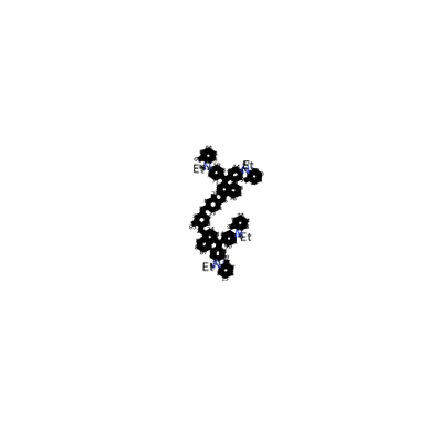 CCN(c1ccc(C(=C2C=CC(=[N+](CC)c3ccccc3C)C=C2)c2ccc(CC3CCC(CC4CCC(Cc5ccc(C(=C6C=CC(=[N+](CC)c7ccccc7C)C=C6)c6ccc(N(CC)c7ccccc7C)cc6)c6ccccc56)C(C)C4)CC3C)c3ccccc23)cc1)c1ccccc1C